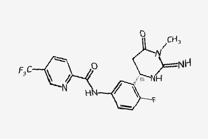 CN1C(=N)N[C@H](c2cc(NC(=O)c3ccc(C(F)(F)F)cn3)ccc2F)CC1=O